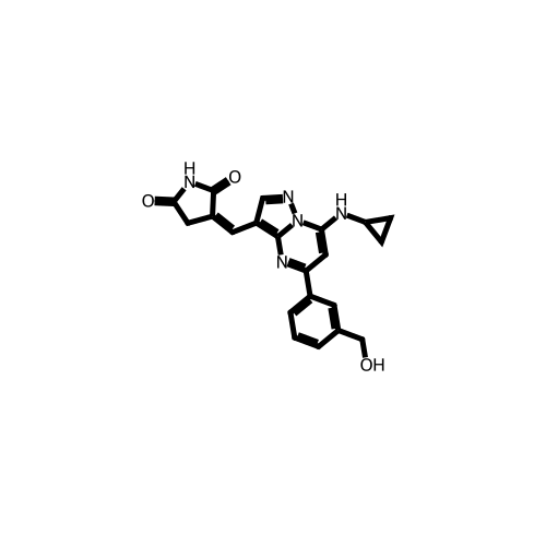 O=C1CC(=Cc2cnn3c(NC4CC4)cc(-c4cccc(CO)c4)nc23)C(=O)N1